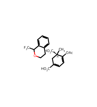 CC(=O)OC1=CC=C(C(=O)O)C[C@@]1(C)C(=O)O.FC(F)(F)C1OCCc2ccccc21